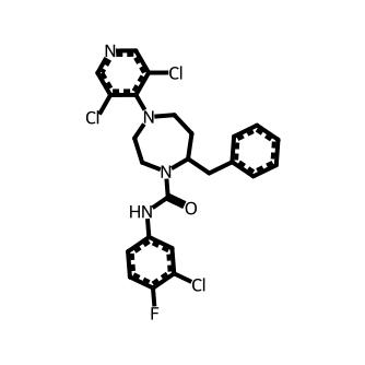 O=C(Nc1ccc(F)c(Cl)c1)N1CCN(c2c(Cl)cncc2Cl)CCC1Cc1ccccc1